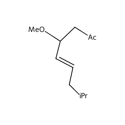 COC(C=CCC(C)C)CC(C)=O